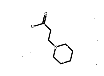 O=C(Cl)CCN1CCCCC1